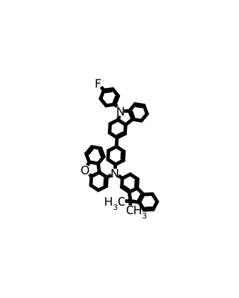 CC1(C)C2=CC(N(C3=CCCC4OC5C=CC=CC5C34)C3C=CC(C4=CC5C6=C(C=CCC6)N(C6=CC=C(F)CC6)C5CC4)CC3)CC=C2C2=C1C=CCC2